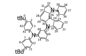 CC(C)(C)c1ccc(N(c2ccc(C(C)(C)C)cc2)c2cccc(-n3c4ccccc4c4c5c(ccc43)ccn5-c3ccccc3)c2)cc1